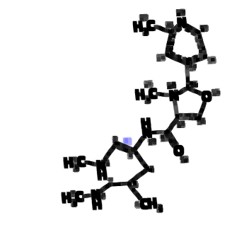 CN/C=C(\CC(C)CNC)NC(=O)C1=COC(c2ccnc(C)c2)N1C